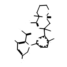 CC1=C(C(N)=O)N(c2ccc(F)c(C3(C)C[SH]4(=O)NCCCC4(C)C(N)=N3)n2)CC(C#N)=C1